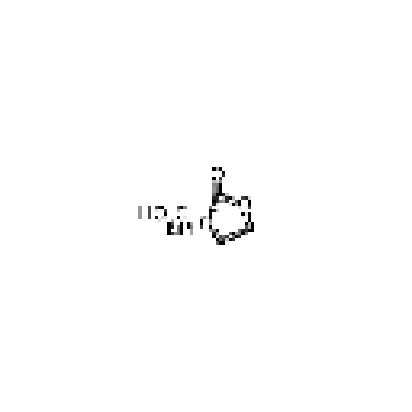 CC(=O)O.O=c1occo1.[LiH]